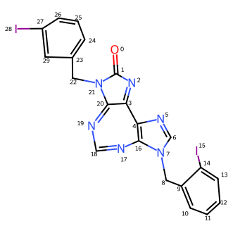 O=c1nc2c3ncn(Cc4ccccc4I)c3ncnc-2n1Cc1cccc(I)c1